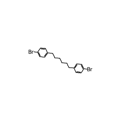 Brc1ccc(CCCCCCc2ccc(Br)cc2)cc1